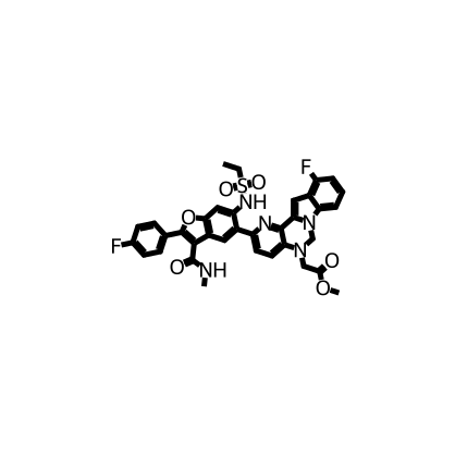 CCS(=O)(=O)Nc1cc2oc(-c3ccc(F)cc3)c(C(=O)NC)c2cc1-c1ccc2c(n1)-c1cc3c(F)cccc3n1CN2CC(=O)OC